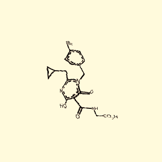 CC(C)(C)c1ccc(Cn2c(CC3CC3)nc(O)c(C(=O)NCC(=O)O)c2=O)cc1